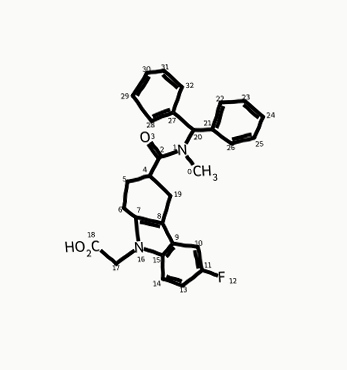 CN(C(=O)C1CCc2c(c3cc(F)ccc3n2CC(=O)O)C1)C(c1ccccc1)c1ccccc1